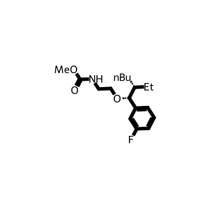 CCCC[C@H](CC)[C@@H](OCCNC(=O)OC)c1cccc(F)c1